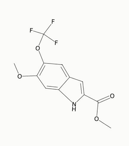 COC(=O)c1cc2cc(OC(F)(F)F)c(OC)cc2[nH]1